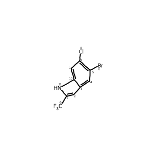 FC(F)(F)c1cc2cc(Br)c(Cl)cc2[nH]1